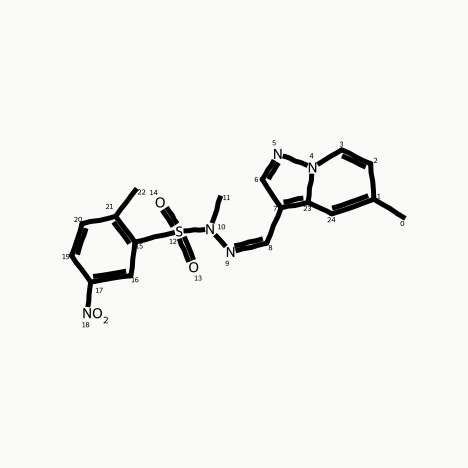 Cc1ccn2ncc(/C=N\N(C)S(=O)(=O)c3cc([N+](=O)[O-])ccc3C)c2c1